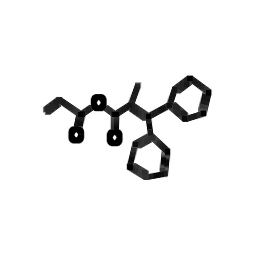 C=CC(=O)OC(=O)C(C)=C(c1ccccc1)c1ccccc1